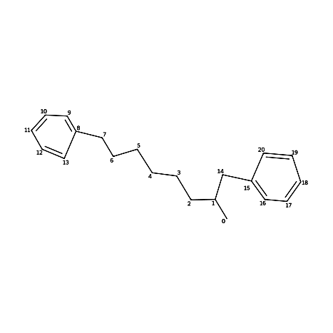 CC(CCCCCCc1ccccc1)Cc1ccccc1